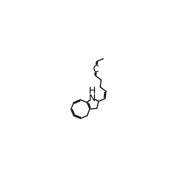 CC=C=CCC/C=C\C1CC2=C(/C=C\C=C=CC2)N1